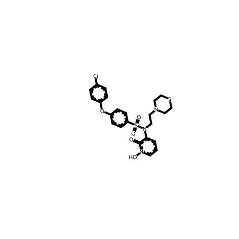 O=c1c(N(CCN2CCSCC2)S(=O)(=O)c2ccc(Oc3ccc(Cl)cc3)cc2)cccn1O